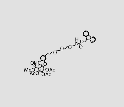 COC(=O)[C@H]1O[C@@H](Oc2cc(CCCOCCOCCOCCNC(=O)OCC3c4ccccc4-c4ccccc43)ccc2C=O)[C@H](OC(C)=O)[C@@H](OC(C)=O)[C@@H]1OC(C)=O